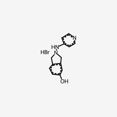 Br.Oc1ccc2c(c1)CN(Nc1ccncc1)C2